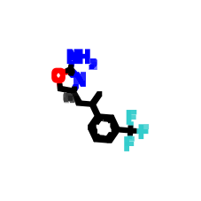 CC(C[C@H]1COC(N)=N1)c1cccc(C(F)(F)F)c1